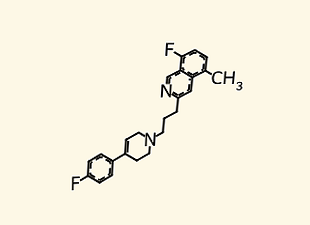 Cc1ccc(F)c2cnc(CCCN3CC=C(c4ccc(F)cc4)CC3)cc12